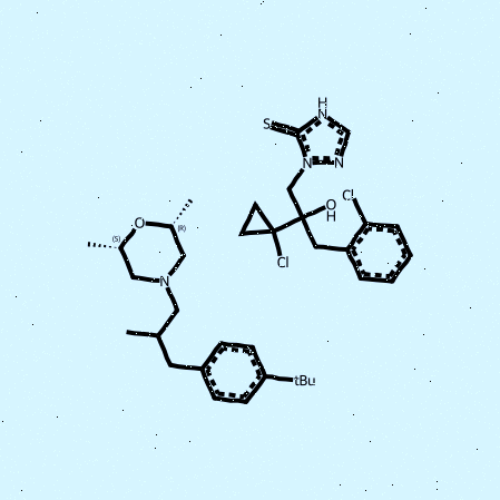 CC(Cc1ccc(C(C)(C)C)cc1)CN1C[C@@H](C)O[C@@H](C)C1.OC(Cc1ccccc1Cl)(Cn1nc[nH]c1=S)C1(Cl)CC1